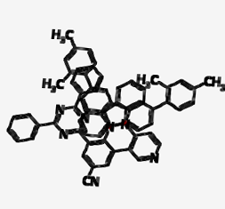 Cc1ccc(-c2ccc3c(c2)c2cc(-c4ccc(C)cc4C)ccc2n3-c2c(-c3nc(-c4ccccc4)nc(-c4ccccc4)n3)cc(C#N)cc2-c2cnccc2-n2c3ccccc3c3ccccc32)c(C)c1